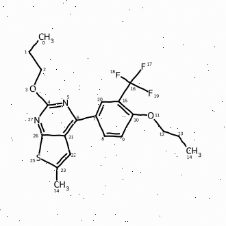 CCCOc1nc(-c2ccc(OCCC)c(C(F)(F)F)c2)c2cc(C)sc2n1